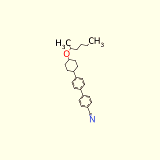 CCCCC(C)OC1CCC(c2ccc(-c3ccc(C#N)cc3)cc2)CC1